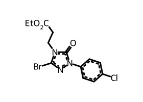 CCOC(=O)CCn1c(Br)nn(-c2ccc(Cl)cc2)c1=O